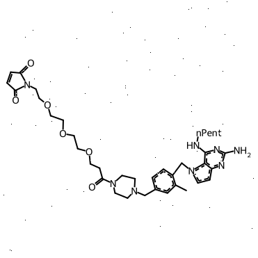 CCCCCNc1nc(N)nc2ccn(Cc3ccc(CN4CCN(C(=O)CCOCCOCCOCCN5C(=O)C=CC5=O)CC4)cc3C)c12